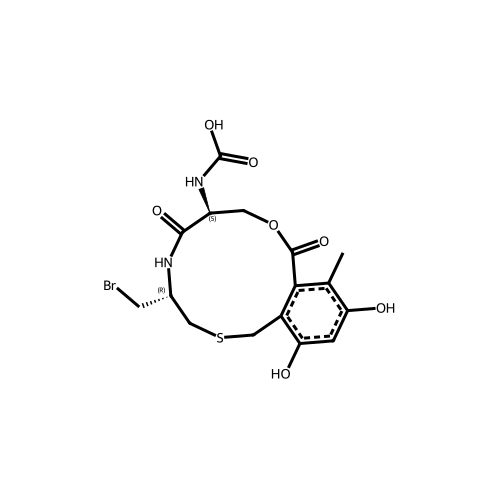 Cc1c(O)cc(O)c2c1C(=O)OC[C@H](NC(=O)O)C(=O)N[C@@H](CBr)CSC2